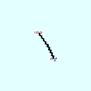 CN(C)C(=O)CCCCCCC/C=C/CCCCCCCC(=O)O